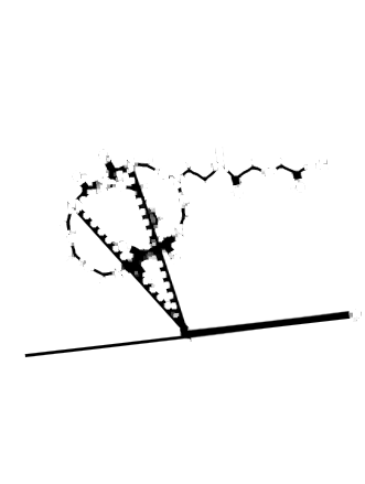 O=C(O)COCC(=O)NCCN1CCn2c(=O)n3c(=O)n(c2=O)CCCCCn2c(=O)n(c(=O)n(c2=O)CC1)CCCCC3